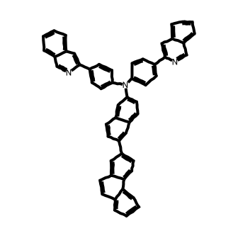 c1ccc2cc(-c3ccc(N(c4ccc(-c5cc6ccccc6cn5)cc4)c4ccc5cc(-c6ccc7c(ccc8ccccc87)c6)ccc5c4)cc3)ncc2c1